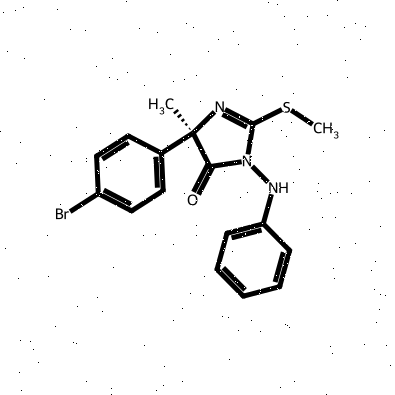 CSC1=N[C@](C)(c2ccc(Br)cc2)C(=O)N1Nc1ccccc1